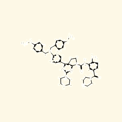 COc1ccc(CN(Cc2ccc(OC)cc2)c2ncc(-c3nc(N4CCOCC4)nc4c3CCN4C(=O)Nc3cc(C(=O)N4CCOCC4)ccc3C)cn2)cc1